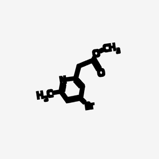 COC(=O)Cc1cc(Br)cc(C)n1